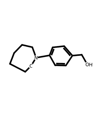 OCc1ccc(N2CCCCCC2)cc1